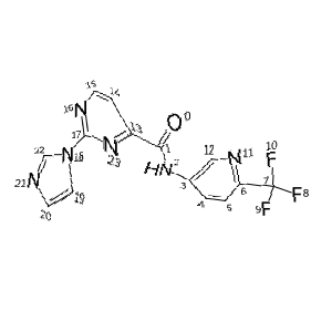 O=C(Nc1ccc(C(F)(F)F)nc1)c1ccnc(-n2ccnc2)n1